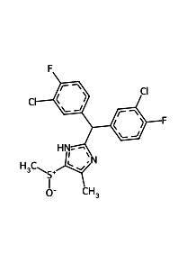 Cc1nc(C(c2ccc(F)c(Cl)c2)c2ccc(F)c(Cl)c2)[nH]c1[S+](C)[O-]